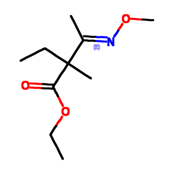 CCOC(=O)C(C)(CC)/C(C)=N/OC